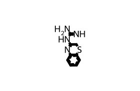 N=C(N)NC1=Nc2ccccc2SC1